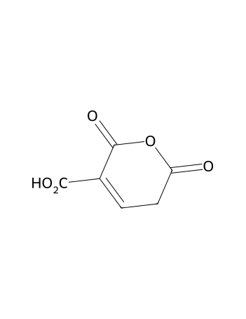 O=C1CC=C(C(=O)O)C(=O)O1